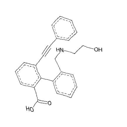 O=C(O)c1cccc(C#Cc2ccccc2)c1-c1ccccc1CNCCO